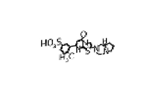 Cc1ccc(S(=O)(=O)O)cc1-c1cc(=O)n2cc(N3CCN4CCC[C@@H]4C3)sc2n1